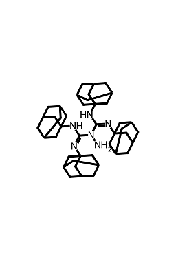 NN(C(=NC12CC3CC(CC(C3)C1)C2)NC12CC3CC(CC(C3)C1)C2)C(=NC12CC3CC(CC(C3)C1)C2)NC12CC3CC(CC(C3)C1)C2